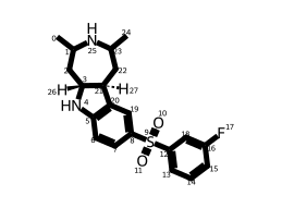 CC1C[C@H]2Nc3ccc(S(=O)(=O)c4cccc(F)c4)cc3[C@@H]2CC(C)N1